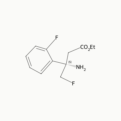 CCOC(=O)C[C@@](N)(CF)c1ccccc1F